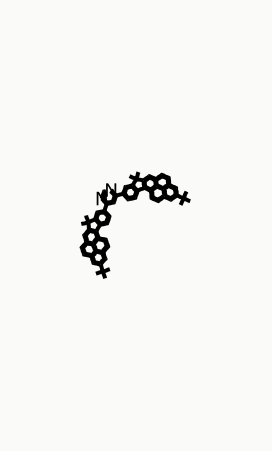 CC(C)(C)c1cc2ccc3cc4c(c5ccc(c1)c2c35)-c1ccc(-c2cc(-c3ccc5c(c3)C(C)(C)c3cc6ccc7cc(C(C)(C)C)cc8ccc(c3-5)c6c78)ncn2)cc1C4(C)C